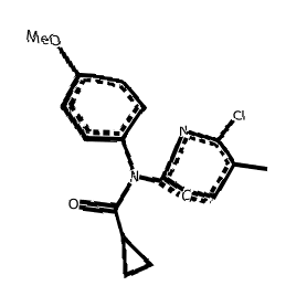 COc1ccc(N(C(=O)C2CC2)c2ccc(C)c(Cl)n2)cc1